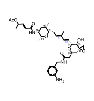 CC(=O)OC(C)C=CC(=O)N[C@@H]1C[C@H](C)[C@H](C/C=C(C)/C=C/[C@H]2O[C@H](CC(=O)NCc3cccc(N)c3)C[C@@]3(CO3)[C@@H]2O)O[C@@H]1C